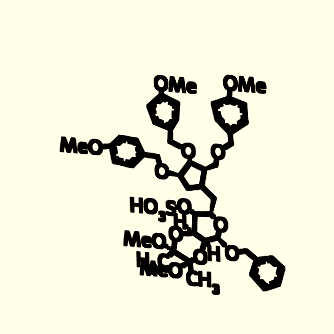 COc1ccc(COC[C@H]2C(C[C@H]3O[C@@H](OCc4ccccc4)[C@@H]4O[C@@](C)(OC)[C@](C)(OC)O[C@H]4[C@H]3OS(=O)(=O)O)C[C@@H](OCc3ccc(OC)cc3)[C@@H]2OCc2ccc(OC)cc2)cc1